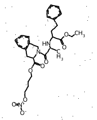 CCOC(=O)C(CCc1ccccc1)NC(C)C(=O)N1Cc2ccccc2CC1C(=O)OCCCCO[N+](=O)[O-]